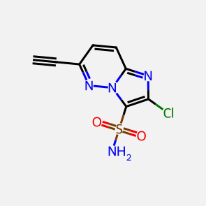 C#Cc1ccc2nc(Cl)c(S(N)(=O)=O)n2n1